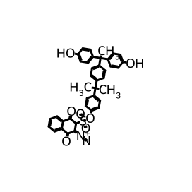 CC(C)(c1ccc(OS(=O)(=O)C2C(=O)c3ccccc3C(=O)C2=[N+]=[N-])cc1)c1ccc(C(C)(c2ccc(O)cc2)c2ccc(O)cc2)cc1